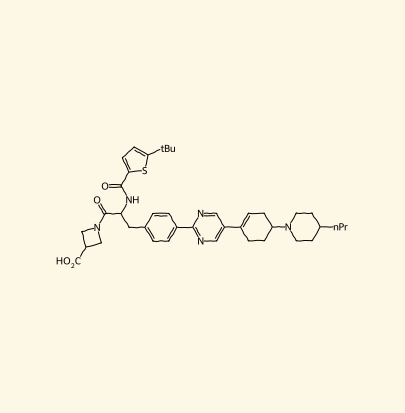 CCCC1CCN(C2CC=C(c3cnc(-c4ccc(CC(NC(=O)c5ccc(C(C)(C)C)s5)C(=O)N5CC(C(=O)O)C5)cc4)nc3)CC2)CC1